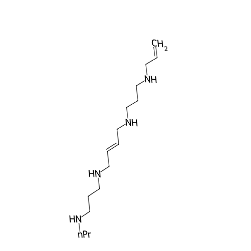 C=CCNCCCNC/C=C/CNCCCNCCC